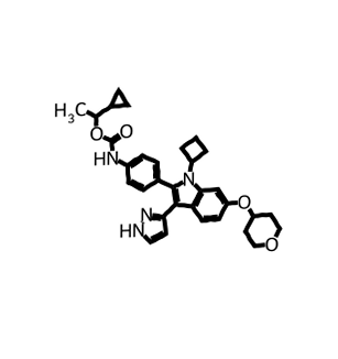 CC(OC(=O)Nc1ccc(-c2c(-c3cc[nH]n3)c3ccc(OC4CCOCC4)cc3n2C2CCC2)cc1)C1CC1